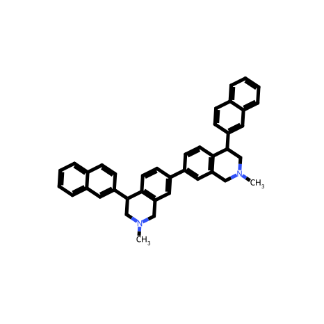 CN1Cc2cc(-c3ccc4c(c3)CN(C)CC4c3ccc4ccccc4c3)ccc2C(c2ccc3ccccc3c2)C1